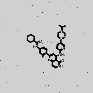 CC(C)N1CCN(c2ccc(Nc3cc(-c4ccc(NC(=O)C5CCCCC5)cc4F)nc4cc[nH]c(=O)c34)nc2)CC1